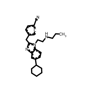 CCCNCCn1c(Cc2ccc(C#N)cc2)nc2cc(C3CCCCC3)ccc21